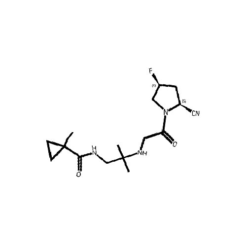 CC(C)(CNC(=O)C1(C)CC1)NCC(=O)N1C[C@@H](F)C[C@H]1C#N